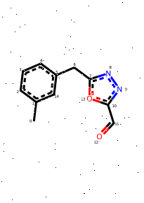 Cc1cccc(Cc2nnc(C=O)o2)c1